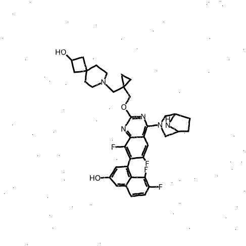 Oc1cc(-c2c(F)cc3c(N4CC5CCC(C4)N5)nc(OCC4(CN5CCC6(CC5)CC(O)C6)CC4)nc3c2F)c2c(F)c(F)ccc2c1